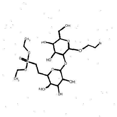 CCOP(=O)(CCC1OC(OC2C(OCCBr)OC(CO)C(O)C2O)C(O)C(O)C1O)OCC